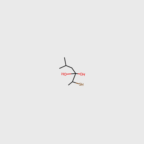 CC(C)CC(O)(O)C(C)S